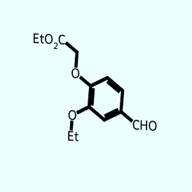 CCOC(=O)COc1ccc(C=O)cc1OCC